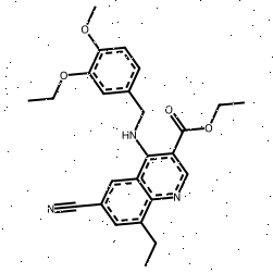 CCOC(=O)c1cnc2c(CC)cc(C#N)cc2c1NCc1ccc(OC)c(OCC)c1